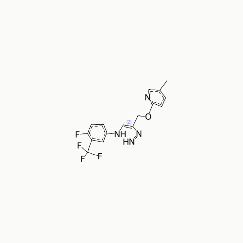 Cc1ccc(OC/C(=C/Nc2ccc(F)c(C(F)(F)F)c2)N=N)nc1